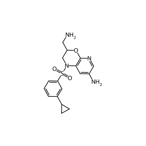 NCC1CN(S(=O)(=O)c2cccc(C3CC3)c2)c2cc(N)cnc2O1